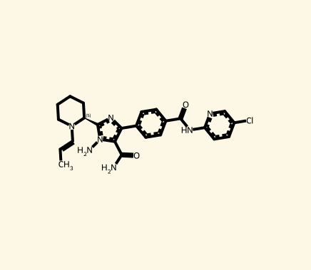 CC=CN1CCCC[C@H]1c1nc(-c2ccc(C(=O)Nc3ccc(Cl)cn3)cc2)c(C(N)=O)n1N